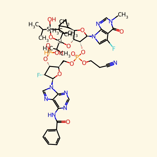 CC(C)[Si](O)(O[Si](O[C@H]1[C@@H](OP(=O)(OCCC#N)OC[C@H]2O[C@@H](n3cnc4c(NC(=O)c5ccccc5)ncnc43)[C@H](F)[C@@H]2O[PH](=O)O)[C@H](n2cc(F)c3c(=O)n(C)cnc32)O[C@@H]1C1CC1)(C(C)C)C(C)C)C(C)C